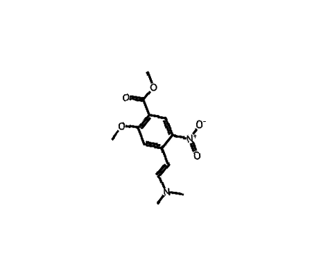 COC(=O)c1cc([N+](=O)[O-])c(C=CN(C)C)cc1OC